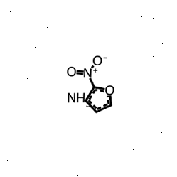 N.O=[N+]([O-])c1ccco1